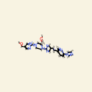 COCc1cnc(N2CCN(c3ncc(/C=C/c4ccc(-n5ccnc5)nc4)cn3)[C@@H](COC)C2)nc1